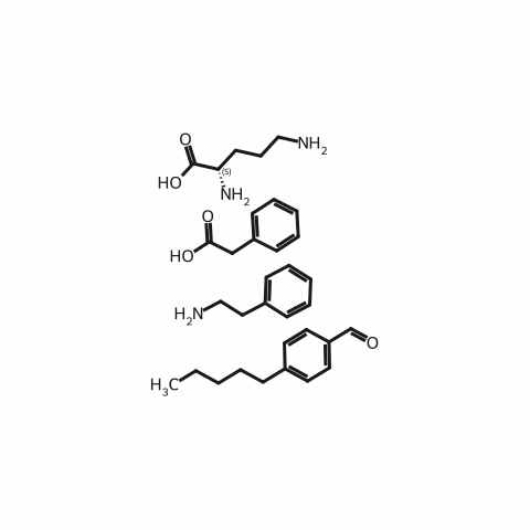 CCCCCc1ccc(C=O)cc1.NCCC[C@H](N)C(=O)O.NCCc1ccccc1.O=C(O)Cc1ccccc1